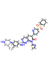 O=c1c(-c2ccc(S(=O)(=O)c3ccccc3)cn2)cc2cnc(Nc3ccc(N4CCNCC4)c(C(F)(F)F)c3)nc2n1-c1nccs1